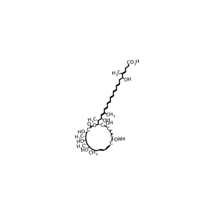 CO[C@@H]1C/C=C\C=C\C[C@H](C)[C@@H](O)[C@H](C)[C@@H](O)[C@H](C)[C@H](O)CC(=O)O[C@H]([C@H](C)[C@H](O)/C=C(C)/C=C/C=C/C=C/C=C/C=C/C[C@H](O)/C(C)=C/CCC(=O)O)C[C@H](O)CCC1